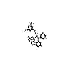 COC(=O)CN(CC(=O)OC)[C@H](COCc1cc(C(F)(F)F)cc(C(F)(F)F)c1)C(c1ccccc1)c1ccccc1